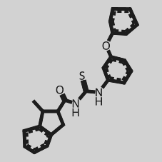 CC1c2ccccc2CC1C(=O)NC(=S)Nc1cccc(Oc2ccccc2)c1